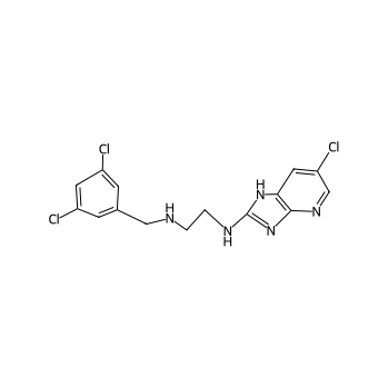 Clc1cc(Cl)cc(CNCCNc2nc3ncc(Cl)cc3[nH]2)c1